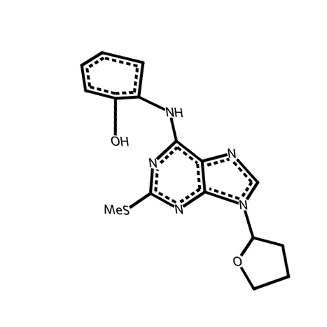 CSc1nc(Nc2ccccc2O)c2ncn(C3CCCO3)c2n1